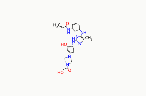 C=CC(=O)Nc1cccc(Nc2nc(Nc3ccc(N4CCN(C(=O)CO)CC4)cc3O)ncc2C)c1